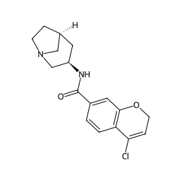 O=C(N[C@@H]1C[C@@H]2CCN(C2)C1)c1ccc2c(c1)OCC=C2Cl